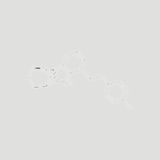 Cc1ccc(/C=C/c2cccc3c4c([nH]c23)C2CCN(CC2)C4)cn1